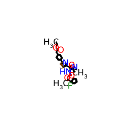 CCOC(=O)Cc1ccc(-c2nc(-c3onc(C)c3NC(=O)OC(C)c3ccccc3F)cs2)cc1